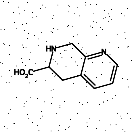 O=C(O)C1Cc2cccnc2CN1